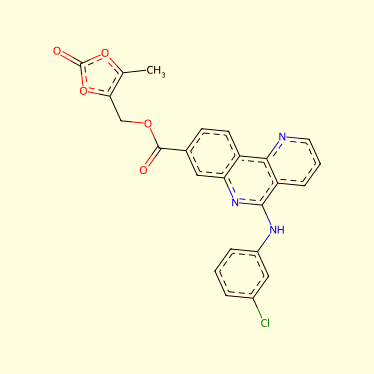 Cc1oc(=O)oc1COC(=O)c1ccc2c(c1)nc(Nc1cccc(Cl)c1)c1cccnc12